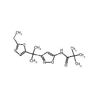 CCc1ncc(C(C)(C)c2cc(NC(=O)C(C)(C)C)on2)o1